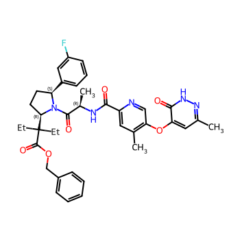 CCC(CC)(C(=O)OCc1ccccc1)[C@H]1CC[C@@H](c2cccc(F)c2)N1C(=O)[C@@H](C)NC(=O)c1cc(C)c(Oc2cc(C)n[nH]c2=O)cn1